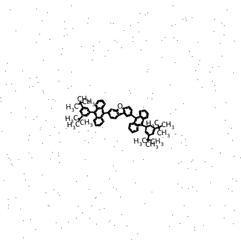 CC(C)(C)C1=CC(c2c3ccccc3c(-c3ccc4oc5cc(-c6c7ccccc7c(-c7cc(C(C)(C)C)cc(C(C)(C)C)c7)c7ccccc67)ccc5c4c3)c3ccccc23)CC(C(C)(C)C)=C1